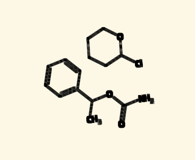 CC(OC(N)=O)c1ccccc1.ClC1CCCCO1